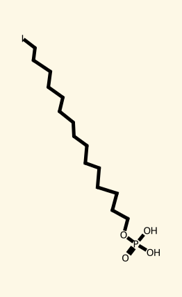 O=P(O)(O)OCCCCCCCCCCCCCCCI